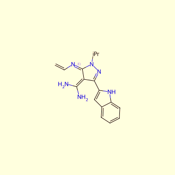 C=C/N=C1\C(=C(N)N)C(c2cc3ccccc3[nH]2)=NN1C(C)C